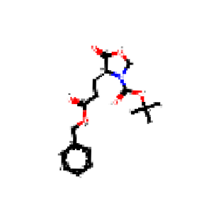 CC(C)(C)OC(=O)N1COC(=O)[C@@H]1CCC(=O)OCc1ccccc1